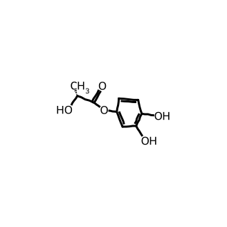 C[C@@H](O)C(=O)Oc1ccc(O)c(O)c1